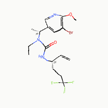 C=C[C@H](CCC(F)(F)F)NC(=O)N(CC)[C@H](C)c1cnc(OC)c(Br)c1